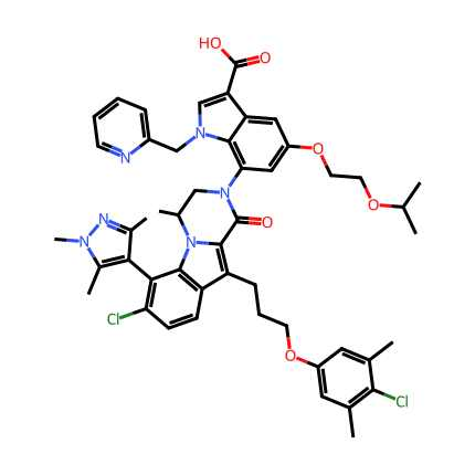 Cc1cc(OCCCc2c3n(c4c(-c5c(C)nn(C)c5C)c(Cl)ccc24)C(C)CN(c2cc(OCCOC(C)C)cc4c(C(=O)O)cn(Cc5ccccn5)c24)C3=O)cc(C)c1Cl